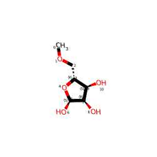 COC[C@H]1O[C@H](O)[C@H](O)[C@@H]1O